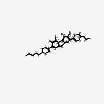 CCCCCC1CC=C(c2cc3c(c(F)c2F)-c2c(cc(C4=CCC(CCC)CC4)c(F)c2F)C3)CC1